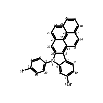 Fc1ccc(-n2c3cc(Br)ccc3c3c4ccc5cccc6ccc(cc32)c4c65)cc1